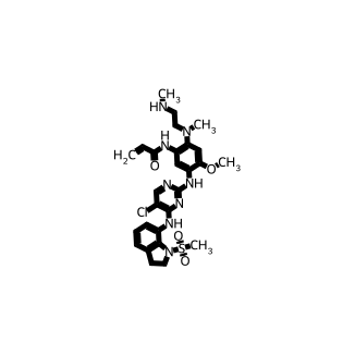 C=CC(=O)Nc1cc(Nc2ncc(Cl)c(Nc3cccc4c3N(S(C)(=O)=O)CC4)n2)c(OC)cc1N(C)CCNC